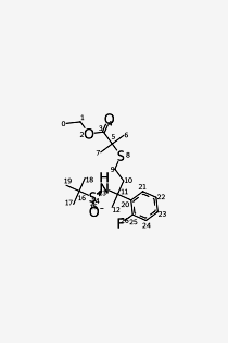 CCOC(=O)C(C)(C)SCCC(C)(N[S+]([O-])C(C)(C)C)c1ccccc1F